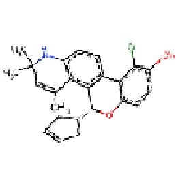 CC1=CC(C)(C)Nc2ccc3c(c21)[C@@H](C1CC=CC1)Oc1ccc(O)c(Cl)c1-3